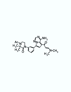 CC(=O)N1CCN(c2cccc(-c3cc(C(=O)C=CN(C)C)c4c(N)ncnn34)c2)C(=O)C1(C)C